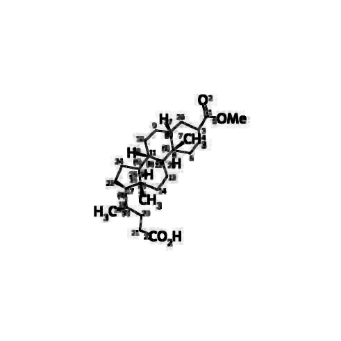 COC(=O)C1CC[C@@]2(C)[C@H](CC[C@@H]3[C@@H]2CC[C@]2(C)[C@@H]([C@H](C)CCC(=O)O)CC[C@@H]32)C1